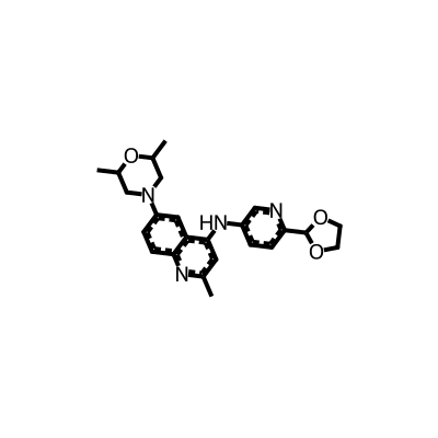 Cc1cc(Nc2ccc(C3OCCO3)nc2)c2cc(N3CC(C)OC(C)C3)ccc2n1